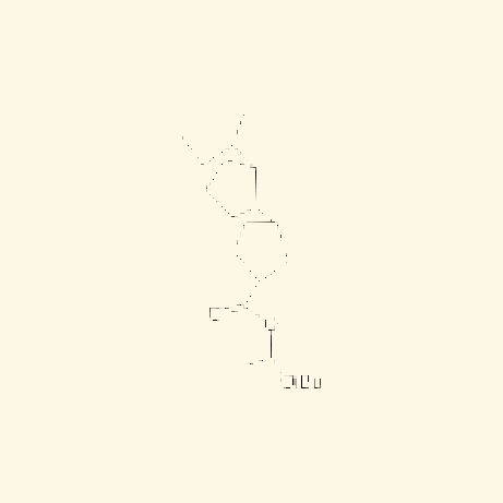 CC(C)COC(C)OC(=O)C1CC2CC1C1C3CC(C(C)C3C)C21